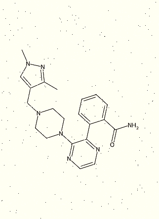 Cc1nn(C)cc1CN1CCN(c2nccnc2-c2ccccc2C(N)=O)CC1